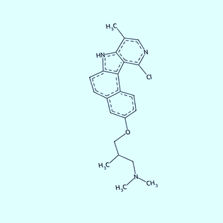 Cc1cnc(Cl)c2c1[nH]c1ccc3cc(OCC(C)CN(C)C)ccc3c12